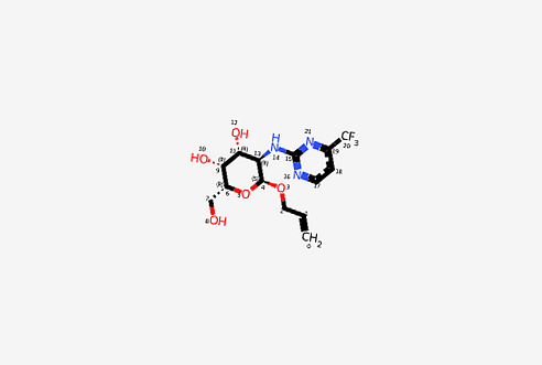 C=CCO[C@H]1O[C@H](CO)[C@H](O)[C@H](O)[C@H]1Nc1nccc(C(F)(F)F)n1